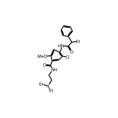 CCC(C(=O)Nc1cc(OC)c(C(=O)NCCN(CC)CC)cc1Cl)c1ccccc1